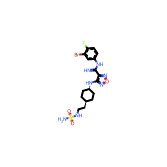 N=C(Nc1ccc(F)c(Br)c1)c1nonc1N[C@H]1CC[C@H](CCNS(N)(=O)=O)CC1